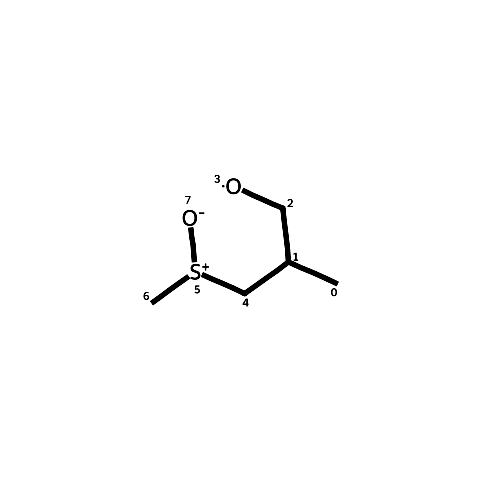 CC(C[O])C[S+](C)[O-]